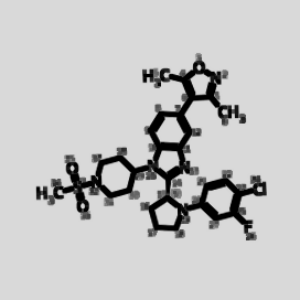 Cc1noc(C)c1-c1ccc2c(c1)nc([C@@H]1CCCN1c1ccc(Cl)c(F)c1)n2C1CCN(S(C)(=O)=O)CC1